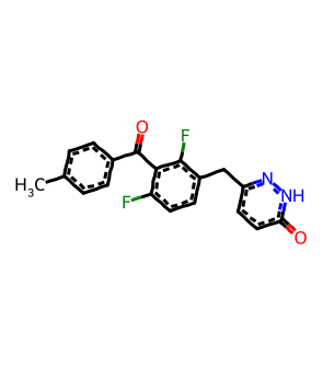 Cc1ccc(C(=O)c2c(F)ccc(Cc3ccc(=O)[nH]n3)c2F)cc1